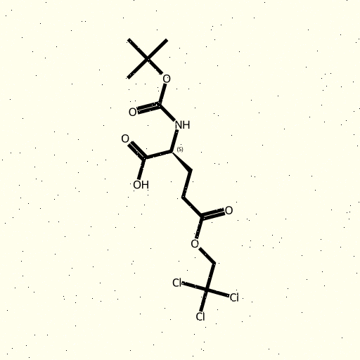 CC(C)(C)OC(=O)N[C@@H](CCC(=O)OCC(Cl)(Cl)Cl)C(=O)O